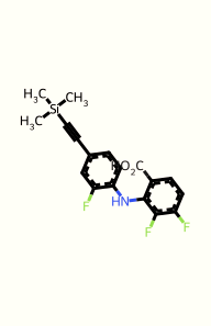 C[Si](C)(C)C#Cc1ccc(Nc2c(C(=O)O)ccc(F)c2F)c(F)c1